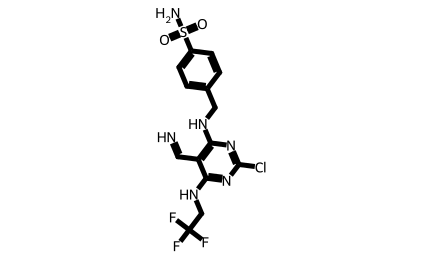 N=Cc1c(NCc2ccc(S(N)(=O)=O)cc2)nc(Cl)nc1NCC(F)(F)F